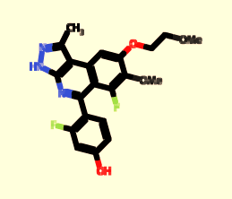 COCCOc1cc2c(c(-c3ccc(O)cc3F)nc3[nH]nc(C)c32)c(F)c1OC